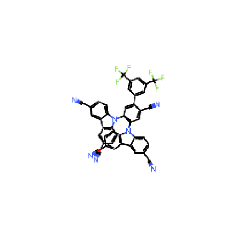 N#Cc1ccc2c(c1)c1cc(C#N)ccc1n2-c1cc(C#N)c(-c2cc(C(F)(F)F)cc(C(F)(F)F)c2)cc1-n1c2ccc(C#N)cc2c2cc(C#N)ccc21